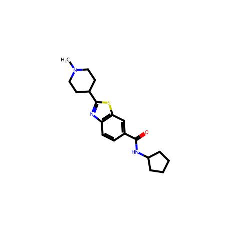 CN1CCC(c2nc3ccc(C(=O)NC4CCCC4)cc3s2)CC1